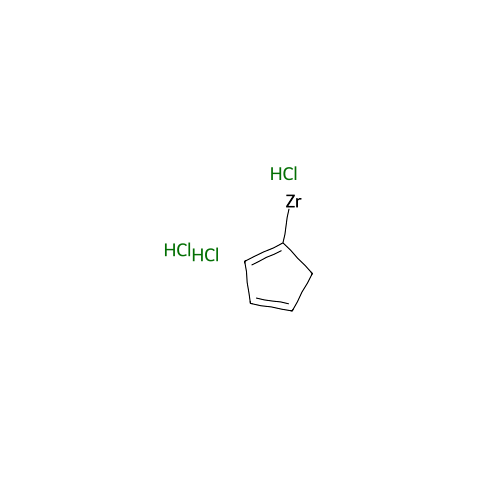 Cl.Cl.Cl.[Zr][C]1=CC=CC1